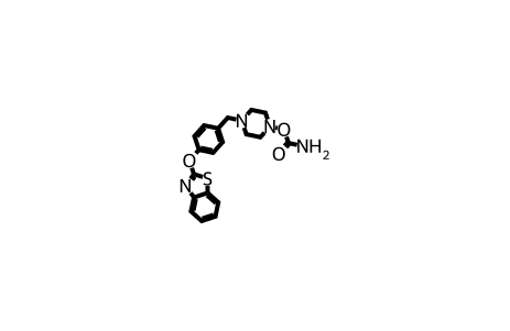 NC(=O)ON1CCN(Cc2ccc(Oc3nc4ccccc4s3)cc2)CC1